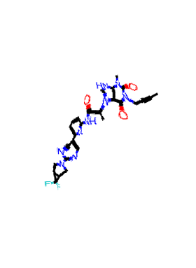 CC#CCn1c(=O)c2c(n(C)c1=O)NCN2[C@@H](C)C(=O)Nc1cccc(-c2cnc(N3CC4C(C3)C4(F)F)nc2)n1